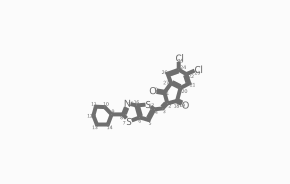 O=C1C(=Cc2cc3sc(C4CCCCC4)nc3s2)C(=O)c2cc(Cl)c(Cl)cc21